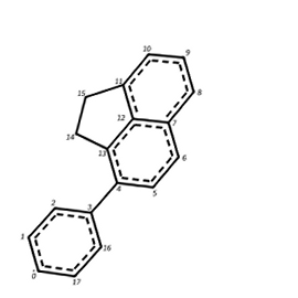 [c]1ccc(-c2ccc3cccc4c3c2CC4)cc1